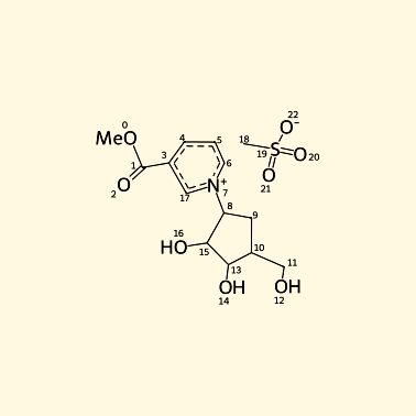 COC(=O)c1ccc[n+](C2CC(CO)C(O)C2O)c1.CS(=O)(=O)[O-]